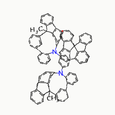 CC12c3cccc(c3)-c3ccccc3N(c3cc(-c4cccc5c4C4(c6ccccc6-c6ccccc64)c4ccccc4-5)cc(N4c5ccc6c(c5)C(C)(c5cccc(c5)-c5ccccc54)c4ccccc4-6)c3)c3ccc(c1c3)-c1ccccc12